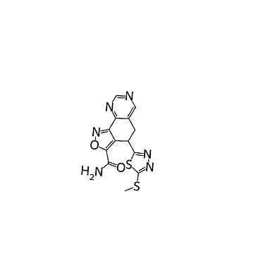 CSc1nnc(C2Cc3cncnc3-c3noc(C(N)=O)c32)s1